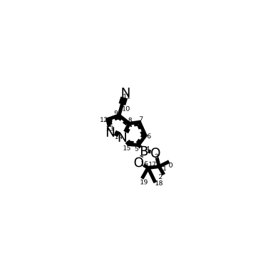 CC1(C)OB(c2ccc3c(C#N)cnn3c2)OC1(C)C